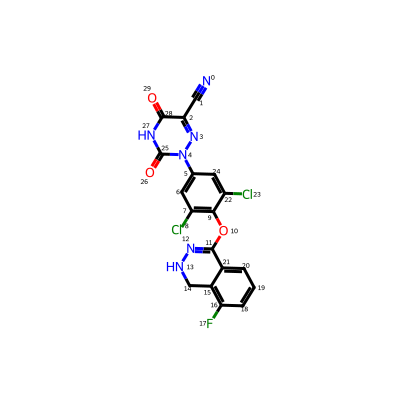 N#Cc1nn(-c2cc(Cl)c(OC3=NNCc4c(F)cccc43)c(Cl)c2)c(=O)[nH]c1=O